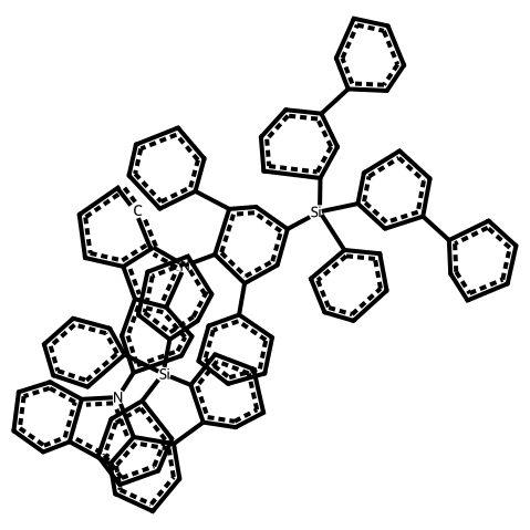 c1ccc(-c2cccc([Si](c3ccccc3)(c3cccc(-c4ccccc4)c3)c3cc(-c4ccccc4)c(-n4c5ccccc5c5cc(-n6c7ccccc7c7cccc(-c8ccccc8[Si](c8ccccc8)(c8ccccc8)c8ccccc8)c76)ccc54)c(-c4ccccc4)c3)c2)cc1